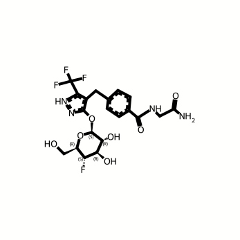 NC(=O)CNC(=O)c1ccc(Cc2c(O[C@@H]3O[C@H](CO)[C@@H](F)[C@H](O)[C@H]3O)n[nH]c2C(F)(F)F)cc1